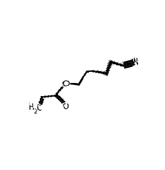 C=CC(=O)OCCCCC#N